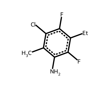 CCc1c(F)c(N)c(C)c(Cl)c1F